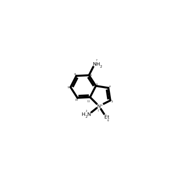 CC[N+]1(N)C=Cc2c(N)cccc21